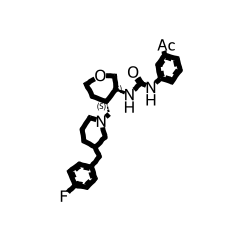 CC(=O)c1cccc(NC(=O)N[C@@H]2COCC[C@H]2CN2CCCC(Cc3ccc(F)cc3)C2)c1